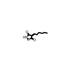 [CH2]CCCCC=C1C(=O)NOC1=O